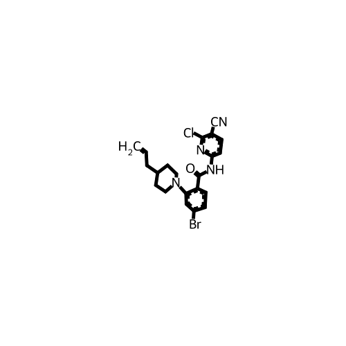 C=CCC1CCN(c2cc(Br)ccc2C(=O)Nc2ccc(C#N)c(Cl)n2)CC1